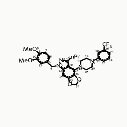 CCCc1nn(Cc2ccc(OC)c(OC)c2)c2cc3c(c(N4CCN(c5cccc(C(F)(F)F)c5)CC4)c12)OCO3